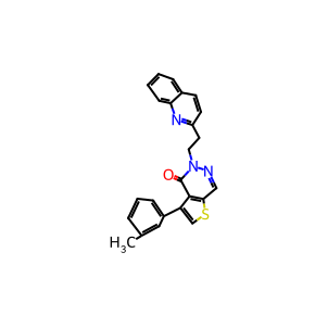 Cc1cccc(-c2csc3cnn(CCc4ccc5ccccc5n4)c(=O)c23)c1